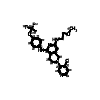 COCCNc1cc2c(c(Nc3ccc(OC(F)(F)F)cc3)n1)CCN(c1cnccc1Cl)C2